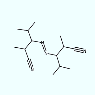 CC(C)C(N=NC(C(C)C)C(C)C#N)C(C)C#N